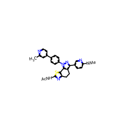 CNc1ccc(-c2nn(-c3ccc(-c4ccnc(C)c4)cc3)c3c2CCc2nc(NC(C)=O)sc2-3)cn1